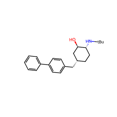 CC(C)(C)N[C@@H]1CC[C@H](Cc2ccc(-c3ccccc3)cc2)C[C@H]1O